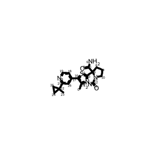 Cc1nc(C2(C(N)=O)CCCN2C(N)=O)sc1-c1ccnc(C2(C)CC2)c1